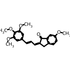 COc1ccc2c(c1)C(=O)C(=CC=Cc1cc(OC)c(OC)c(OC)c1)C2